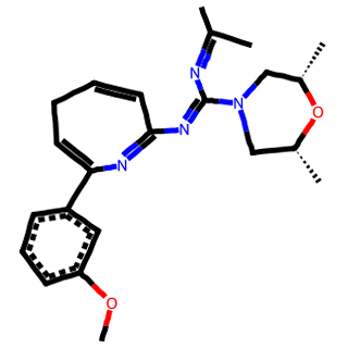 COc1cccc(C2=CCC=CC(/N=C(\N=C(C)C)N3C[C@@H](C)O[C@@H](C)C3)=N2)c1